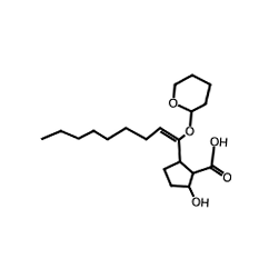 CCCCCCCC=C(OC1CCCCO1)C1CCC(O)C1C(=O)O